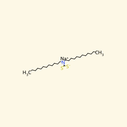 CCCCCCCCCCCCN(CCCCCCCCCCCC)C(=S)[S-].[Na+]